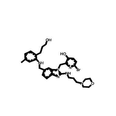 Cc1ccc(CCCO)c(NCc2ccc3nc(NCCCN4CCOCC4)n(Cc4nc(Br)ccc4O)c3c2)c1